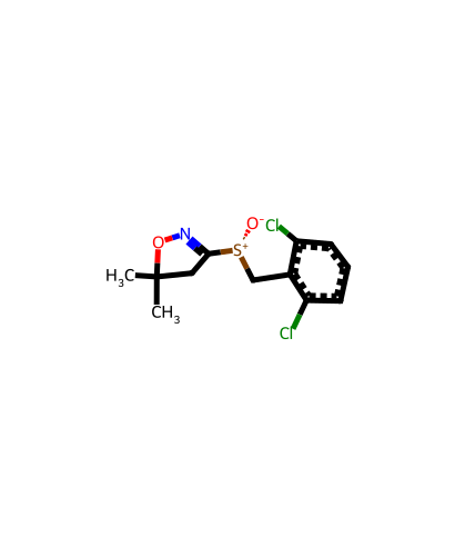 CC1(C)CC([S@+]([O-])Cc2c(Cl)cccc2Cl)=NO1